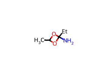 CCC1(N)OC(C)O1